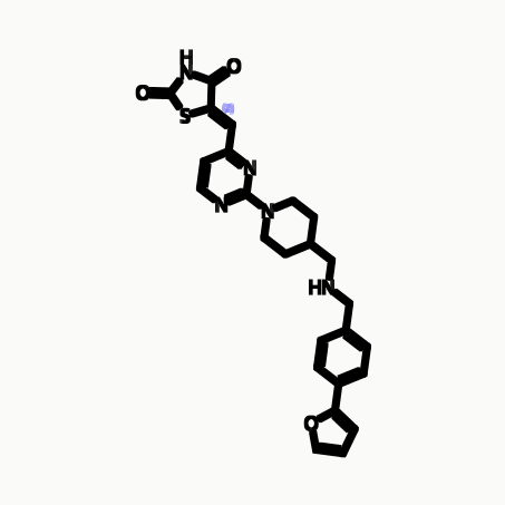 O=C1NC(=O)/C(=C/c2ccnc(N3CCC(CNCc4ccc(-c5ccco5)cc4)CC3)n2)S1